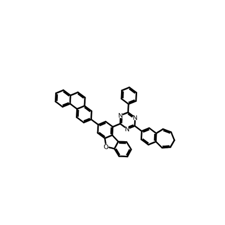 C1=Cc2ccc(-c3nc(-c4ccccc4)nc(-c4cc(-c5ccc6c(ccc7ccccc76)c5)cc5oc6ccccc6c45)n3)cc2C=CC1